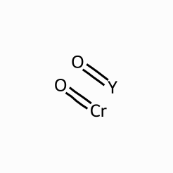 [O]=[Cr].[O]=[Y]